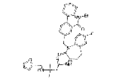 CCNC(=O)c1cc(CN2C(=O)[C@H](NC(=O)CC(C)(C)NCc3ccco3)CCc3cc(F)ccc32)ccc1-c1ccccc1